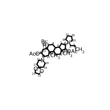 C=CC[N+]1([C@H]2CC3C4CC[C@H]5C[C@H](OC(C)=O)[C@@H](N6CCC7(CC6)OCCO7)C[C@]5(C)C4CC[C@]3(C)[C@H]2OC(C)=O)CCCC1.[Br-]